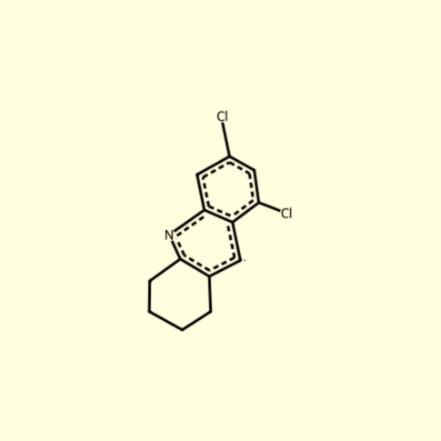 Clc1cc(Cl)c2[c]c3c(nc2c1)CCCC3